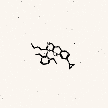 CCCCC1=NCC(Cc2ccc(C3CC3)cc2)=C(O)N1c1c(CC)cccc1CC